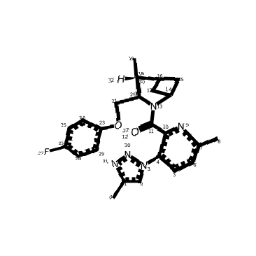 Cc1cn(-c2ccc(C)nc2C(=O)N2C3CC(C3)[C@@H](C)C2COc2ccc(F)cc2)nn1